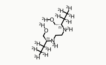 [2H]OC[C@@H](N([2H])CCN([2H])[C@H](CO[2H])C([2H])([2H])C([2H])([2H])[2H])C([2H])([2H])C([2H])([2H])[2H]